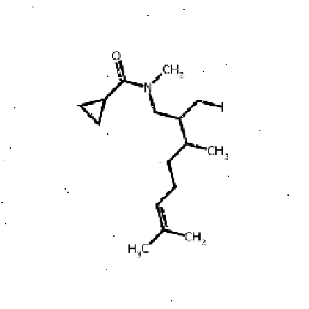 CC(C)=CCCC(C)C(CI)CN(C)C(=O)C1CC1